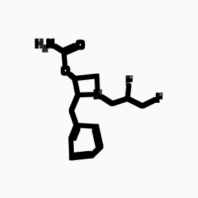 NC(=O)OC1CN(CC(F)CF)C1Cc1ccccc1